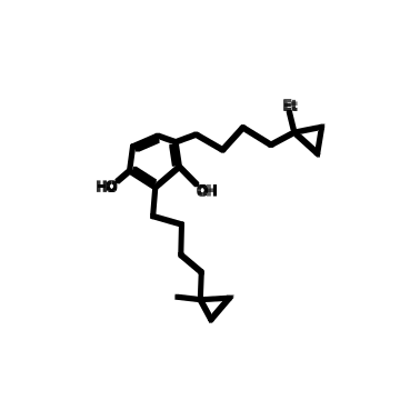 CCC1(CCCCc2ccc(O)c(CCCCC3(C)CC3)c2O)CC1